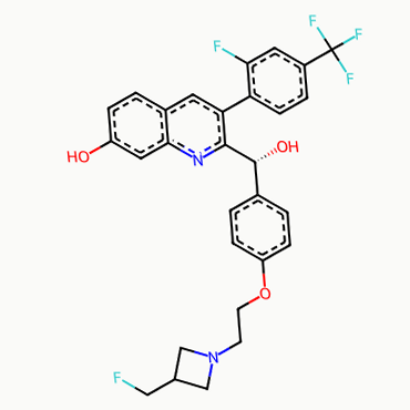 Oc1ccc2cc(-c3ccc(C(F)(F)F)cc3F)c([C@H](O)c3ccc(OCCN4CC(CF)C4)cc3)nc2c1